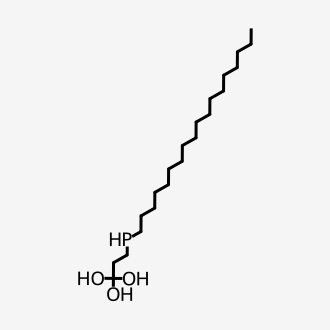 CCCCCCCCCCCCCCCCCCPCCC(O)(O)O